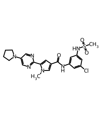 Cn1cc(C(=O)Nc2cc(Cl)cc(NS(C)(=O)=O)c2)cc1-c1ncc(N2CCCC2)cn1